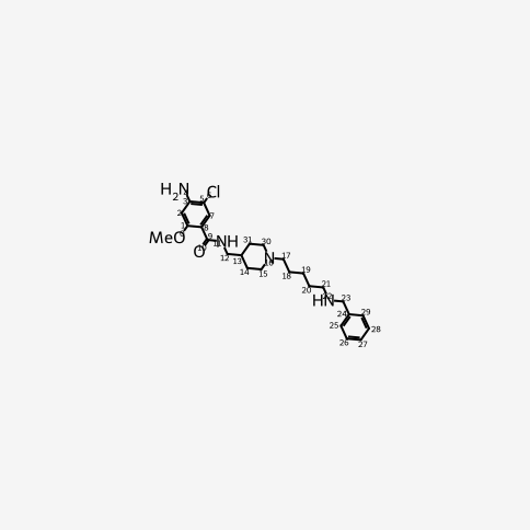 COc1cc(N)c(Cl)cc1C(=O)NCC1CCN(CCCCCNCc2ccccc2)CC1